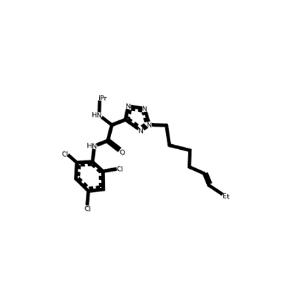 CC/C=C/CCCCn1nnc(C(NC(C)C)C(=O)Nc2c(Cl)cc(Cl)cc2Cl)n1